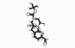 C[C@@H]1CN(C(=O)OC(C)(C)C)C[C@H]2Cc3ccc(C=O)nc3N21